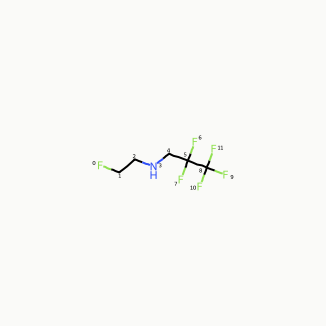 FCCNCC(F)(F)C(F)(F)F